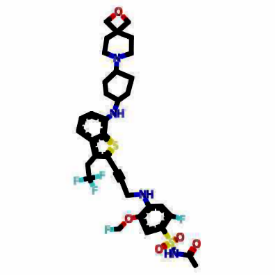 CC(=O)NS(=O)(=O)c1cc(OCF)c(NCC#Cc2sc3c(NC4CCC(N5CCC6(CC5)COC6)CC4)cccc3c2CC(F)(F)F)cc1F